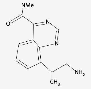 CNC(=O)c1ncnc2c(C(C)CN)cccc12